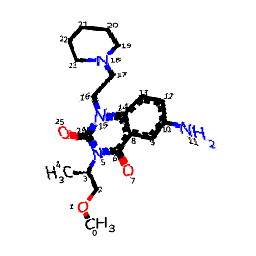 COC[C@@H](C)n1c(=O)c2cc(N)ccc2n(CCN2CCCCC2)c1=O